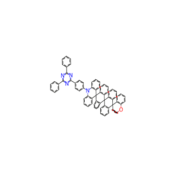 c1ccc(-c2nc(-c3ccccc3)nc(-c3ccc(N4c5ccccc5C5(c6ccccc64)c4ccccc4C4(c6ccccc6C6(c7ccccc7Oc7ccccc76)c6ccccc64)c4ccccc45)cc3)n2)cc1